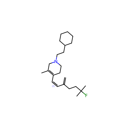 C=C(/C=C\C1=C(C)CN(CCC2CCCCC2)CC1)CCC(C)(C)F